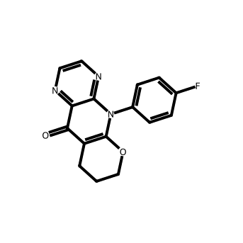 O=c1c2c(n(-c3ccc(F)cc3)c3nccnc13)OCCC2